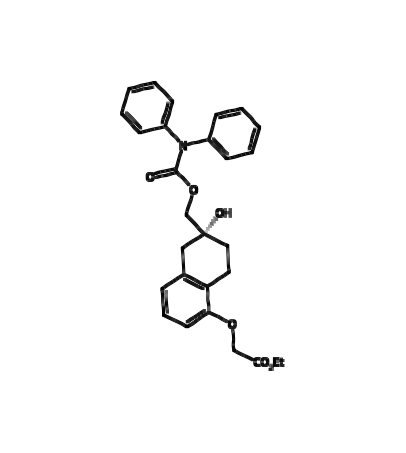 CCOC(=O)COc1cccc2c1CC[C@](O)(COC(=O)N(c1ccccc1)c1ccccc1)C2